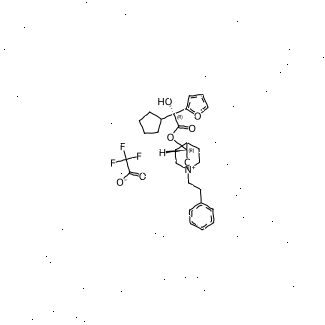 O=C(O[C@H]1C[N+]2(CCc3ccccc3)CCC1CC2)[C@](O)(c1ccco1)C1CCCC1.O=C([O-])C(F)(F)F